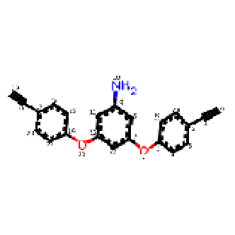 C#Cc1ccc(Oc2cc(N)cc(Oc3ccc(C#C)cc3)c2)cc1